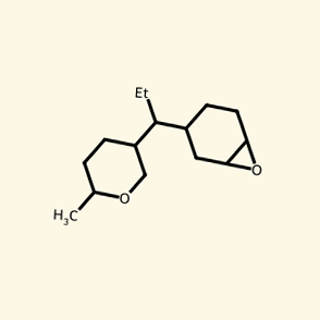 CCC(C1CCC(C)OC1)C1CCC2OC2C1